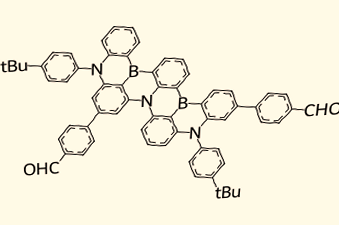 CC(C)(C)c1ccc(N2c3cc(-c4ccc(C=O)cc4)ccc3B3c4cccc5c4N(c4cccc2c43)c2cc(-c3ccc(C=O)cc3)cc3c2B5c2ccccc2N3c2ccc(C(C)(C)C)cc2)cc1